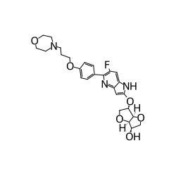 O[C@@H]1CO[C@H]2[C@@H]1OC[C@H]2Oc1cc2nc(-c3ccc(OCCCN4CCOCC4)cc3)c(F)cc2[nH]1